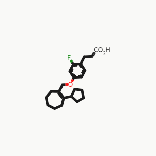 O=C(O)CCc1ccc(OCC2=C(C3CCCC3)CCCCC2)cc1F